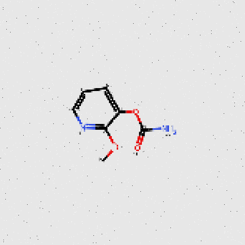 COc1ncccc1OC(N)=O